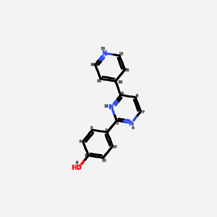 Oc1ccc(-c2nccc(-c3ccncc3)n2)cc1